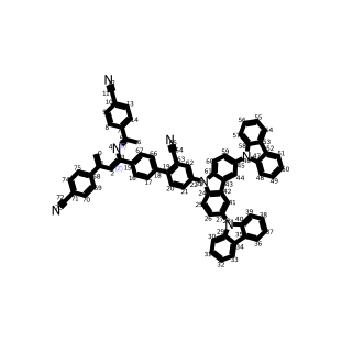 C=C(/C=C(\N=C(/C)c1ccc(C#N)cc1)c1ccc(-c2ccc(-n3c4ccc(-n5c6ccccc6c6ccccc65)cc4c4cc(-n5c6ccccc6c6ccccc65)ccc43)cc2C#N)cc1)c1ccc(C#N)cc1